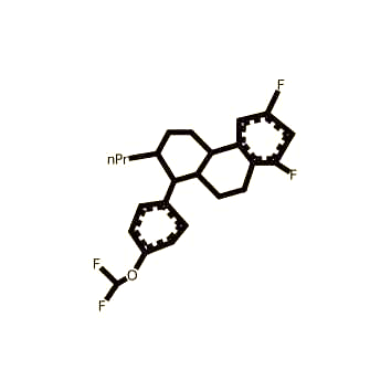 CCCC1CCC2c3cc(F)cc(F)c3CCC2C1c1ccc(OC(F)F)cc1